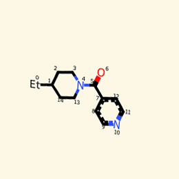 [CH2]CC1CCN(C(=O)c2ccncc2)CC1